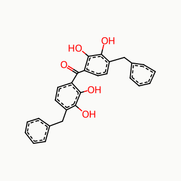 O=C(c1ccc(Cc2ccccc2)c(O)c1O)c1ccc(Cc2ccccc2)c(O)c1O